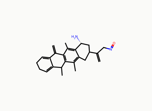 C=C1C2=CCCC=C2C(C)c2c(C)c3c(c(C)c21)[C@H](N)CC(C(=C)CN=O)C3